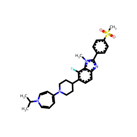 CC(C)N1C=CC=C(N2CCC(c3ccc4nc(-c5ccc(S(C)(=O)=O)cc5)n(C)c4c3F)CC2)C=C1